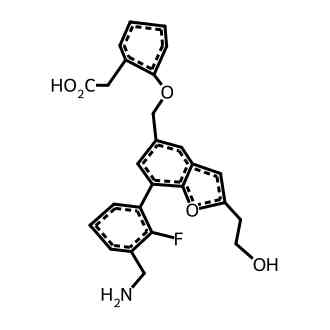 NCc1cccc(-c2cc(COc3ccccc3CC(=O)O)cc3cc(CCO)oc23)c1F